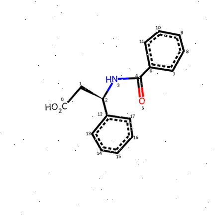 O=C(O)C[C@@H](NC(=O)c1ccccc1)c1ccccc1